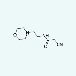 N#CCC(=O)NCCN1CCOCC1